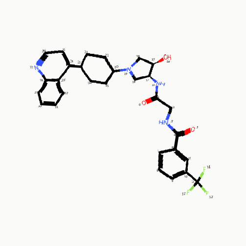 O=C(CNC(=O)c1cccc(C(F)(F)F)c1)N[C@H]1CN(C2CCC(c3ccnc4ccccc34)CC2)C[C@H]1O